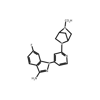 Nc1nn(-c2ccnc(N3CC4CC3CN4C(=O)O)c2)c2cc(F)ccc12